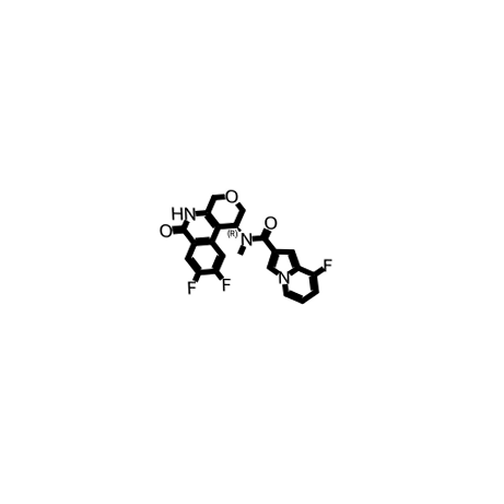 CN(C(=O)c1cc2c(F)cccn2c1)[C@H]1COCc2[nH]c(=O)c3cc(F)c(F)cc3c21